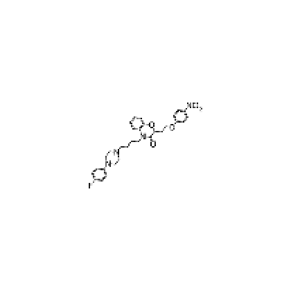 O=C1C(CCOc2ccc([N+](=O)[O-])cc2)Oc2ccccc2N1CCCCN1CCN(c2ccc(F)cc2)CC1